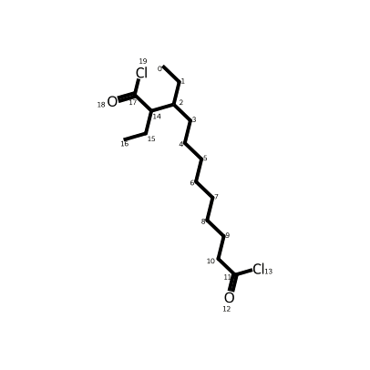 CCC(CCCCCCCCC(=O)Cl)C(CC)C(=O)Cl